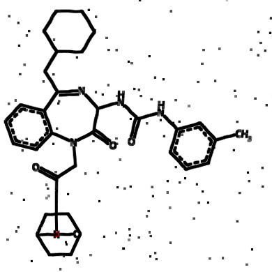 Cc1cccc(NC(=O)NC2N=C(CC3CCCCC3)c3ccccc3N(CC(=O)N3CC4CCC(CC4)C3)C2=O)c1